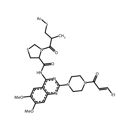 CC/C=C/C(=O)N1CCN(c2nc(NC(=O)C3CSCN3C(=O)C(C)CSC(C)=O)c3cc(OC)c(OC)cc3n2)CC1